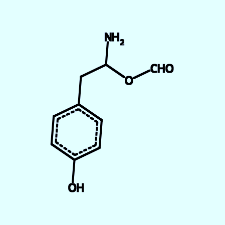 NC(Cc1ccc(O)cc1)OC=O